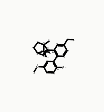 CCc1ccc(-c2cc(OC)ccc2F)c(C2=CC3CCC2(C)C3(C)C)c1